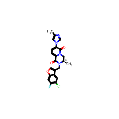 Cc1cn(-c2ccc3n(c2=O)C[C@@H](C)N(Cc2coc4cc(F)c(Cl)cc24)C3=O)cn1